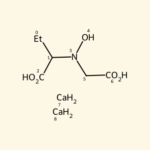 CCC(C(=O)O)N(O)CC(=O)O.[CaH2].[CaH2]